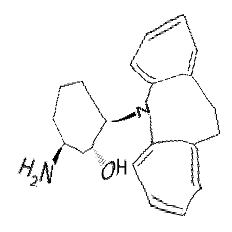 N[C@H]1CCC[C@@H](N2c3ccccc3CCc3ccccc32)[C@@H]1O